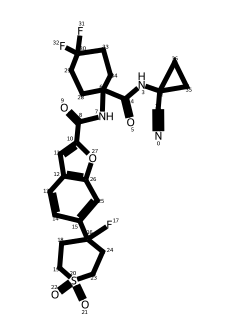 N#CC1(NC(=O)C2(NC(=O)c3cc4ccc(C5(F)CCS(=O)(=O)CC5)cc4o3)CCC(F)(F)CC2)CC1